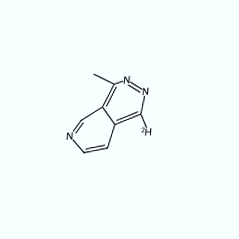 [2H]c1nnc(C)c2cnccc12